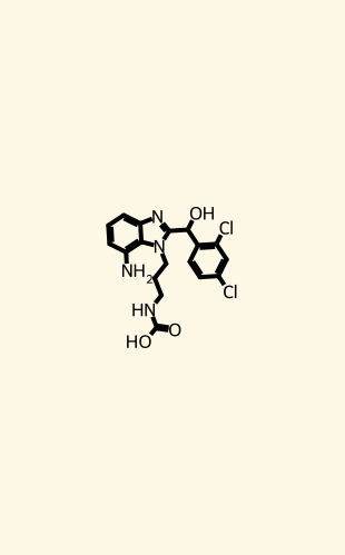 Nc1cccc2nc(C(O)c3ccc(Cl)cc3Cl)n(CCCNC(=O)O)c12